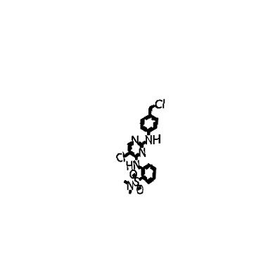 CN(C)S(=O)(=O)c1ccccc1Nc1nc(Nc2ccc(CCl)cc2)ncc1Cl